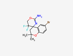 CC1(C)CC2(N=C(N)OCC2(F)F)c2cc(Br)ccc2O1